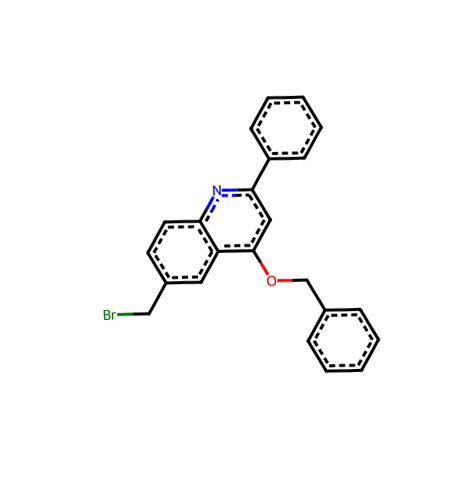 BrCc1ccc2nc(-c3ccccc3)cc(OCc3ccccc3)c2c1